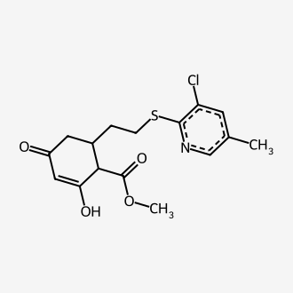 COC(=O)C1C(O)=CC(=O)CC1CCSc1ncc(C)cc1Cl